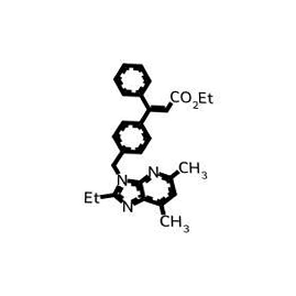 CCOC(=O)C=C(c1ccccc1)c1ccc(Cn2c(CC)nc3c(C)cc(C)nc32)cc1